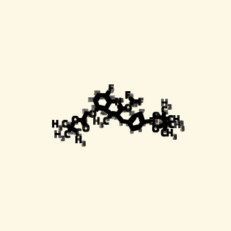 Cc1c(Cc2ccc(B3OC(C)(C)C(C)(C)O3)cc2)c(OC(F)F)nc2c(F)ccc(OCC(=O)OC(C)(C)C)c12